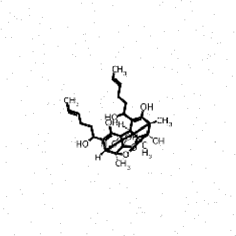 C/C=C/CCC(O)C1=C(O)[C@@]2(C)[C@H]3C(C(O)CC/C=C/C)=C(O)[C@@]4(C)[C@@H]1[C@]1(C)O[C@@]4(O)[C@@]3(C)O[C@@]12O